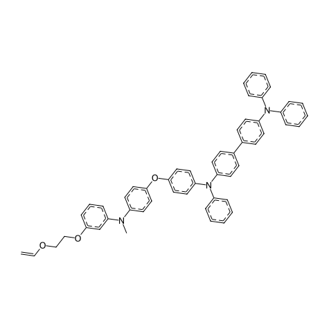 C=COCCOc1cccc(N(C)c2ccc(Oc3ccc(N(c4ccccc4)c4ccc(-c5ccc(N(c6ccccc6)c6ccccc6)cc5)cc4)cc3)cc2)c1